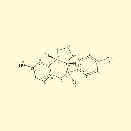 CC[C@]1(c2ccc(O)cc2)Oc2ccc(O)cc2[C@@H]2CCC[C@@H]21